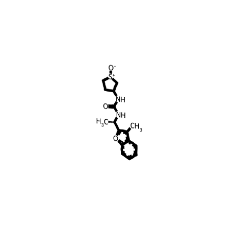 Cc1c([C@@H](C)NC(=O)NC2CC[S+]([O-])C2)oc2ccccc12